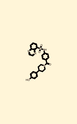 O=C(c1ccc(NS(=O)(=O)c2cccc3nccnc23)cc1)N1CCC(c2ccc(O)cc2)CC1